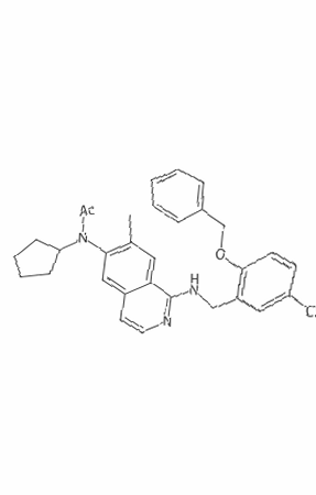 CC(=O)N(c1cc2ccnc(NCc3cc(C#N)ccc3OCc3ccccc3)c2cc1C)C1CCCC1